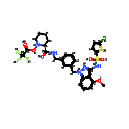 COc1cccc2c1c(NS(=O)(=O)c1ccc(Cl)s1)nn2Cc1cccc(CNC(=O)[C@H]2CCCCN2OC(=O)C(F)(F)F)c1